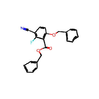 N#Cc1ccc(OCc2ccccc2)c(C(=O)OCc2ccccc2)c1F